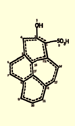 O=S(=O)(O)c1c(O)cc2ccc3cccc4ccc1c2c34